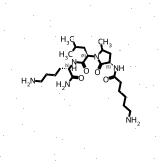 CC(C)C[C@H](C(=O)N[C@@H](CCCCN)C(N)=O)N1C(=O)[C@@H](NC(=O)CCCCCN)CC1C